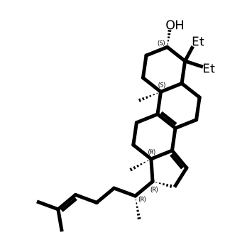 CCC1(CC)C2CCC3=C(CC[C@@]4(C)C3=CC[C@@H]4[C@H](C)CCC=C(C)C)[C@@]2(C)CC[C@@H]1O